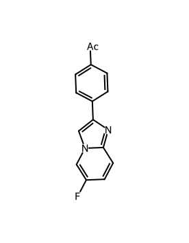 CC(=O)c1ccc(-c2cn3cc(F)ccc3n2)cc1